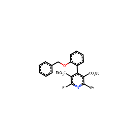 CCOC(=O)c1c(C(C)C)nc(C(C)C)c(C(=O)OCC)c1-c1ccccc1OCc1ccccc1